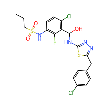 CCCS(=O)(=O)Nc1ccc(Cl)c(C(O)Nc2nnc(Cc3ccc(Cl)cc3)s2)c1F